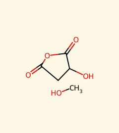 CO.O=C1CC(O)C(=O)O1